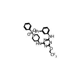 CC(C)c1cccc(Nc2nc(NC3CCN(S(=O)(=O)c4ccccc4)CC3)nc(OCC(F)(F)F)n2)c1